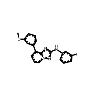 COc1cccc(-c2cccn3nc(Nc4cccc(F)c4)nc23)c1